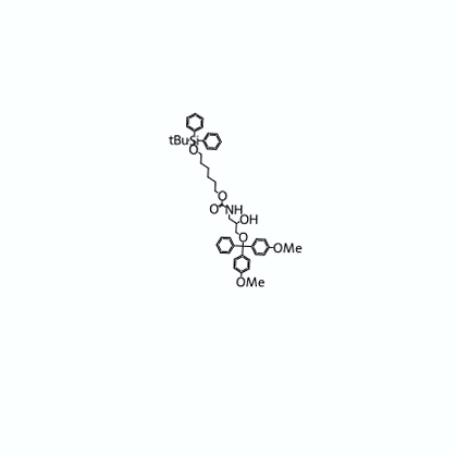 COc1ccc(C(OC[C@H](O)CNC(=O)OCCCCCCO[Si](c2ccccc2)(c2ccccc2)C(C)(C)C)(c2ccccc2)c2ccc(OC)cc2)cc1